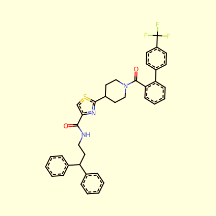 O=C(NCCC(c1ccccc1)c1ccccc1)c1csc(C2CCN(C(=O)c3ccccc3-c3ccc(C(F)(F)F)cc3)CC2)n1